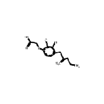 C=C(CCC)Cc1ccc(OCC(=O)O)c(Cl)c1Cl